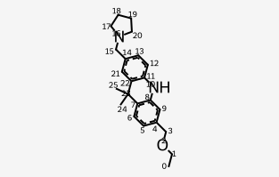 CCOCc1ccc2c(c1)Nc1ccc(CN3CCCC3)cc1C2(C)C